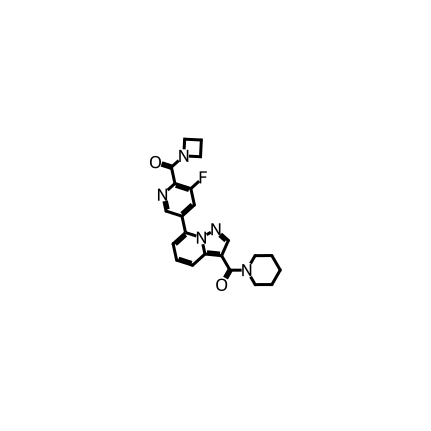 O=C(c1ncc(-c2cccc3c(C(=O)N4CCCCC4)cnn23)cc1F)N1CCC1